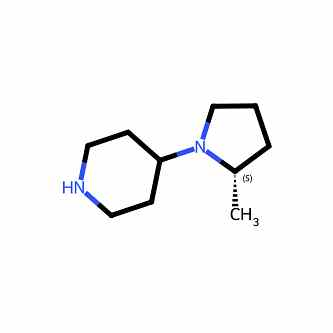 C[C@H]1CCCN1C1CCNCC1